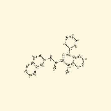 O=C(Nc1cnc2ccccc2c1)c1nc(-c2ccccc2)c2ccccc2c1O